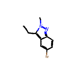 CCc1c2cc(Br)ccc2nn1C